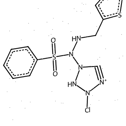 O=S(=O)(c1ccccc1)N(NCc1cccs1)N1C#[N+]N(Cl)N1